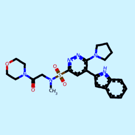 CN(CC(=O)N1CCOCC1)S(=O)(=O)c1cc(-c2cc3ccccc3[nH]2)c(N2CCCC2)nn1